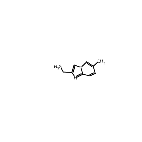 Cc1ccc2nc(CN)cn2c1